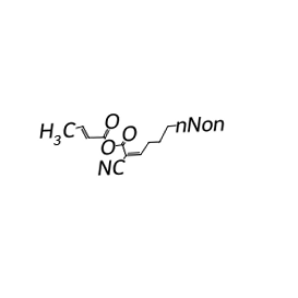 CC=CC(=O)OC(=O)C(C#N)=CCCCCCCCCCCCC